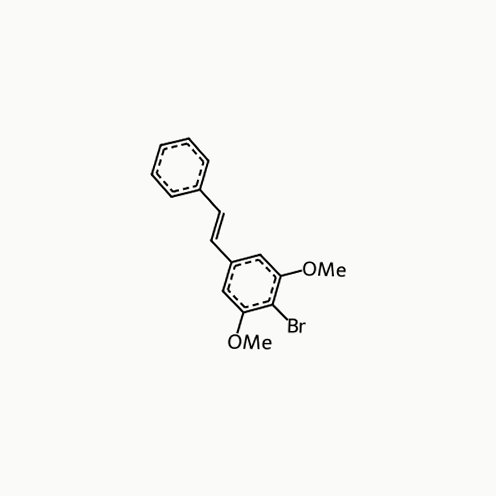 COc1cc(C=Cc2ccccc2)cc(OC)c1Br